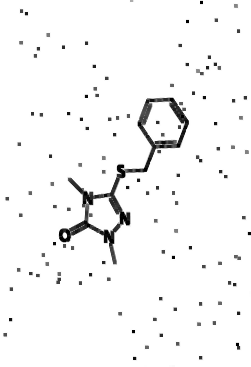 Cn1nc(SCc2ccccc2)n(C)c1=O